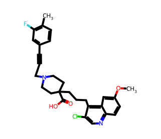 COc1ccc2ncc(Cl)c(CCCC3(C(=O)O)CCN(CC#Cc4ccc(C)c(F)c4)CC3)c2c1